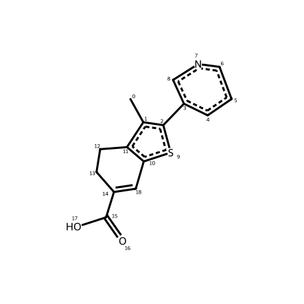 Cc1c(-c2cccnc2)sc2c1CCC(C(=O)O)=C2